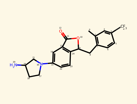 Cc1cc(C(F)(F)F)ccc1CC1OC(=O)c2cc(N3CCC(N)C3)ccc21